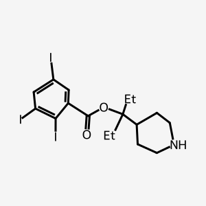 CCC(CC)(OC(=O)c1cc(I)cc(I)c1I)C1CCNCC1